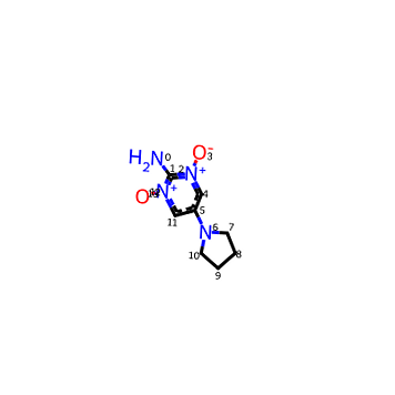 Nc1[n+]([O-])cc(N2CCCC2)c[n+]1[O-]